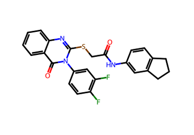 O=C(CSc1nc2ccccc2c(=O)n1-c1ccc(F)c(F)c1)Nc1ccc2c(c1)CCC2